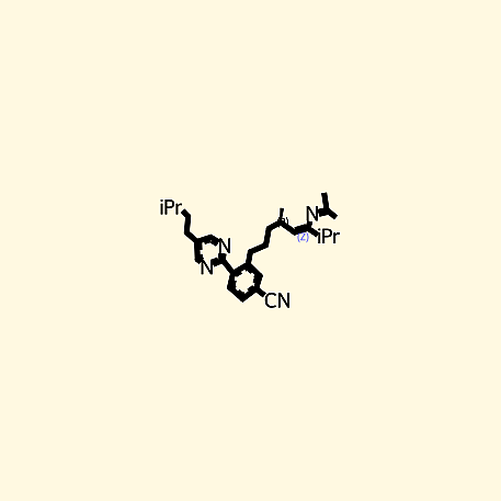 CC(C)=N/C(=C\[C@H](C)CCCc1cc(C#N)ccc1-c1ncc(CCC(C)C)cn1)C(C)C